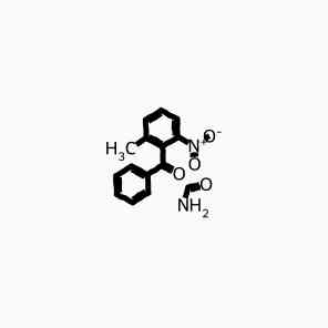 Cc1cccc([N+](=O)[O-])c1C(=O)c1ccccc1.NC=O